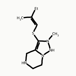 CC/C(C)=C/SC1=C2CNCCN2NN1C